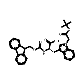 CC(C)(C)OC(=O)Cn1cc(C[C@H](NC(=O)OCC2c3ccccc3-c3ccccc32)C(=O)O)c2ccccc21